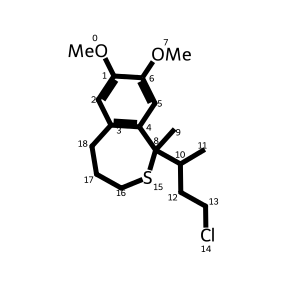 COc1cc2c(cc1OC)C(C)(C(C)CCCl)SCCC2